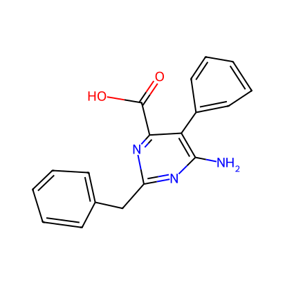 Nc1nc(Cc2ccccc2)nc(C(=O)O)c1-c1ccccc1